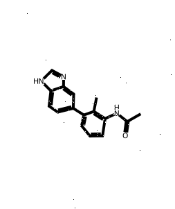 CC(=O)Nc1cccc(-c2ccc3[nH]cnc3c2)c1C